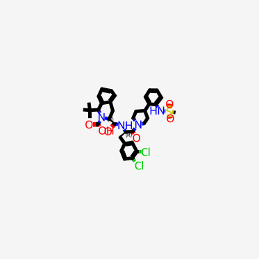 CC(C)(C)C1c2ccccc2C[C@@H](C(=O)N[C@H](Cc2ccc(Cl)c(Cl)c2)C(=O)N2CCC(c3ccccc3NS(C)(=O)=O)CC2)N1C(=O)O